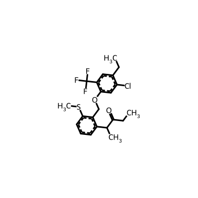 CCC(=O)C(C)c1cccc(SC)c1COc1cc(Cl)c(CC)cc1C(F)(F)F